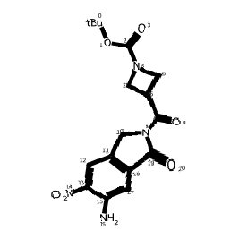 CC(C)(C)OC(=O)N1CC(C(=O)N2Cc3cc([N+](=O)[O-])c(N)cc3C2=O)C1